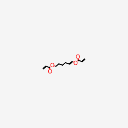 C=CC(=O)OC=CCCCCOC(=O)C=C